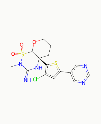 CN1C(=N)N[C@@]2(c3sc(-c4cncnc4)cc3Cl)CCCOC2S1(=O)=O